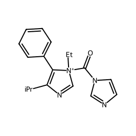 CC[N+]1(C(=O)n2ccnc2)C=NC(C(C)C)=C1c1ccccc1